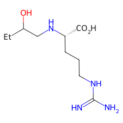 CCC(O)CN[C@@H](CCCNC(=N)N)C(=O)O